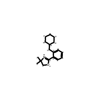 CC1(C)COC(c2ccccc2CC2CCCCC2)=N1